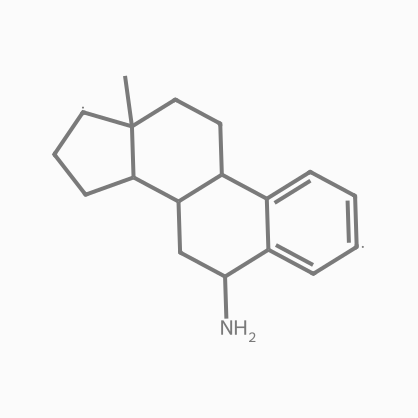 CC12[CH]CCC1C1CC(N)c3c[c]ccc3C1CC2